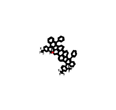 FC(F)(F)c1ccc(-c2c3c(c(-c4ccccc4)c4ccccc24)-c2ccc4c5ccc6c7c(ccc(c8ccc-3c2c48)c75)-c2c-6c(-c3ccccc3)c3ccccc3c2-c2ccc(C(F)(F)F)cc2C(F)(F)F)c(C(F)(F)F)c1